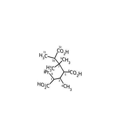 CC(C)C(C(=O)O)C(C)C(C(=O)O)C(C)(C)C(C)C(=O)O